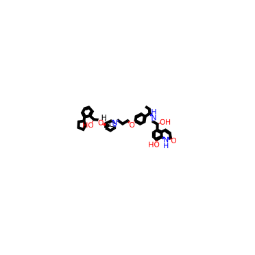 CCC(NC[C@H](O)c1ccc(O)c2[nH]c(=O)ccc12)c1ccc(OCCC[N+]23CCC(CC2)[C@@H](OC[C@H](O)c2ccccc2C2CCCC2)C3)cc1